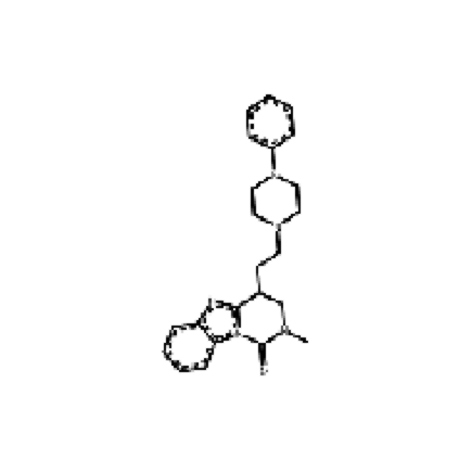 CN1CC(CCN2CCN(c3ccccc3)CC2)c2nc3ccccc3n2C1=O